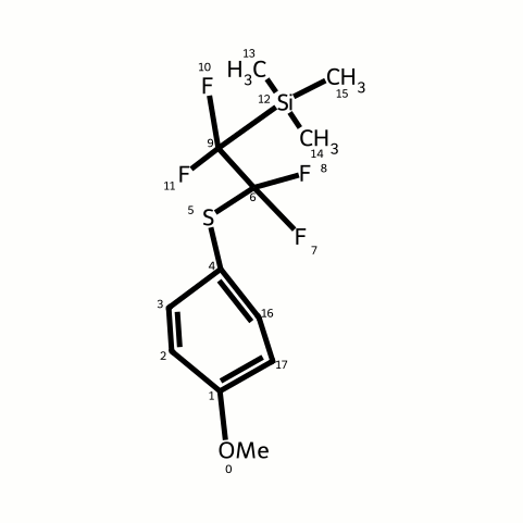 COc1ccc(SC(F)(F)C(F)(F)[Si](C)(C)C)cc1